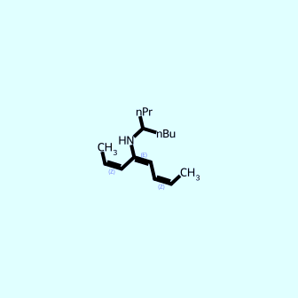 C\C=C/C=C(\C=C/C)NC(CCC)CCCC